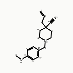 C=CCC1(C#N)CCN(Cc2ccc(OC)cc2)CC1